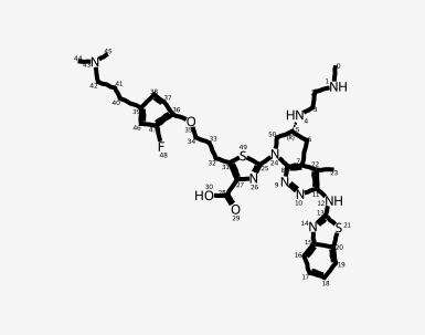 CNCCN[C@@H]1Cc2c(nnc(Nc3nc4ccccc4s3)c2C)N(c2nc(C(=O)O)c(CCCOc3ccc(CCCN(C)C)cc3F)s2)C1